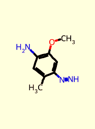 COc1cc(N=N)c(C)cc1N